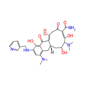 CN(C)c1cc(NCc2cccnc2)c(O)c2c1C[C@H]1C[C@H](O)C(N(C)C)/C(O)=C(/C(N)=O)C(=O)C/C(O)=C\1C2=O